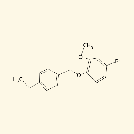 CCc1ccc(COc2ccc(Br)cc2OC)cc1